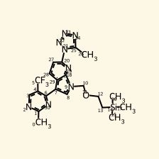 Cc1ncc(C(F)(F)F)c(-c2cn(COCC[Si](C)(C)C)c3nc(-n4nnnc4C)ccc23)n1